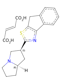 O=C(O)C=CC(=O)O.c1ccc2c(c1)Cc1sc([C@H]3C[C@H]4CCCN4C3)nc1-2